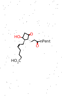 CCCCCC(=O)CC[C@H]1C(=O)CC(O)[C@@H]1C/C=C\CCCC(=O)O